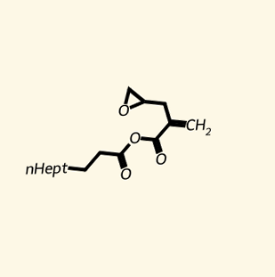 C=C(CC1CO1)C(=O)OC(=O)CCCCCCCCC